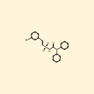 O=C(NS(=O)(=O)C=Cc1cccc(Br)c1)N(c1ccccc1)c1ccccc1